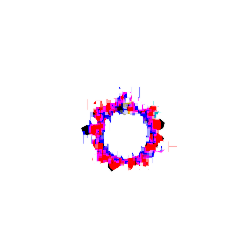 CCCC[C@H]1C(=O)N2C[C@H](O)C[C@@H]2C(=O)N[C@@H](COC=O)C(=O)N[C@@H](C(C)C)C(=O)N(C)[C@@H](Cc2ccccc2)C(=O)N[C@@H](COC=O)C(=O)N2CCC[C@@H]2C(=O)N[C@@H](Cc2c[nH]c3ccccc23)C(=O)N[C@@H](Cc2ccc(O)cc2)C(=O)N[C@@H](CCO)C(=O)N[C@H](C(=O)NCC(N)=O)CSCC(=O)N[C@@H](Cc2cc(F)c(F)c(F)c2)C(=O)N(C)[C@@H](Cc2ccccc2)C(=O)N1C